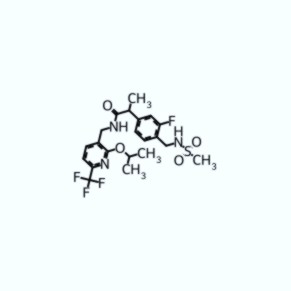 CC(C)Oc1nc(C(F)(F)F)ccc1CNC(=O)C(C)c1ccc(CNS(C)(=O)=O)c(F)c1